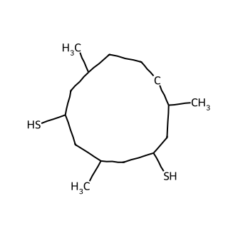 CC1CCCC(C)CC(S)CC(C)CC(S)C1